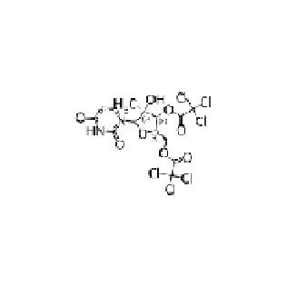 C[C@@]1(O)C(n2ccc(=O)[nH]c2=O)O[C@H](COC(=O)C(Cl)(Cl)Cl)[C@H]1OC(=O)C(Cl)(Cl)Cl